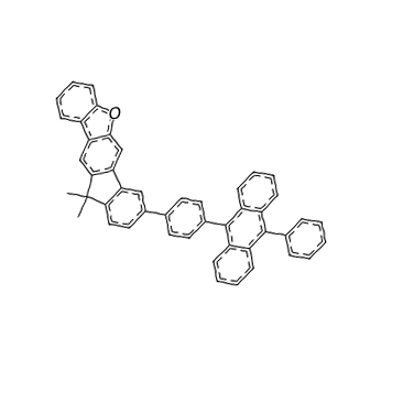 CC1(C)c2ccc(-c3ccc(-c4c5ccccc5c(-c5ccccc5)c5ccccc45)cc3)cc2-c2cc3oc4ccccc4c3cc21